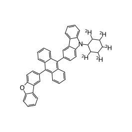 [2H]C1C([2H])C([2H])C(n2c3ccccc3c3cc(-c4c5ccccc5c(-c5ccc6oc7ccccc7c6c5)c5ccccc45)ccc32)C([2H])C1[2H]